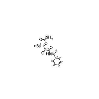 CCCC[C@H](OC(N)=O)C(=O)C(=O)NC(C)c1ccccc1